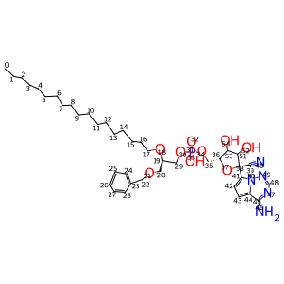 CCCCCCCCCCCCCCCCCCO[C@H](COCc1ccccc1)COP(=O)(O)OC[C@H]1O[C@@](C#N)(c2ccc3c(N)ncnn23)[C@H](O)[C@@H]1O